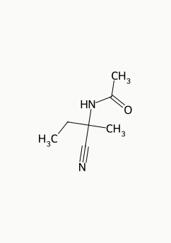 CCC(C)(C#N)NC(C)=O